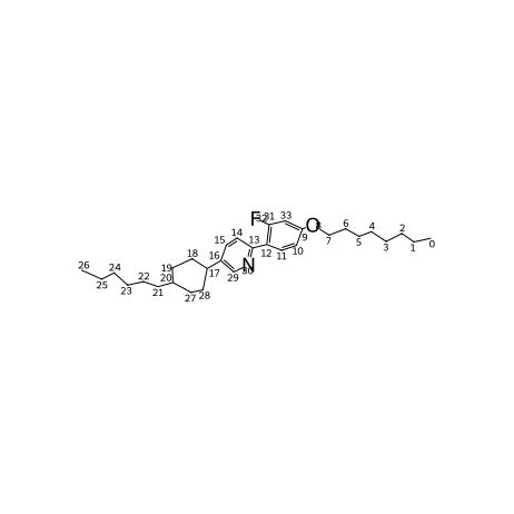 CCCCCCCCOc1ccc(-c2ccc(C3CCC(CCCCCC)CC3)cn2)c(F)c1